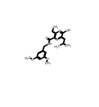 CCc1nc(O)c(CC(C)C)nc1C(=O)NCc1cc(OC)cc(OC)c1